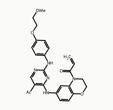 C=CC(=O)N1CCOc2ccc(Nc3nc(Nc4ccc(OCCOC)cc4)ncc3C(C)=O)cc21